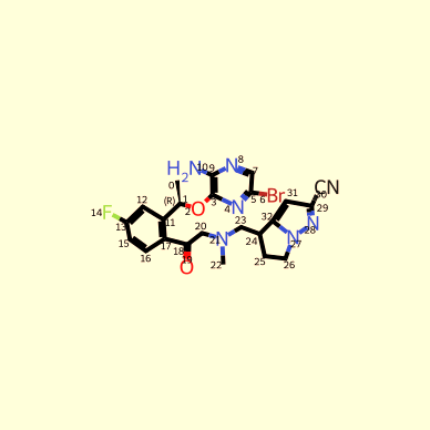 C[C@@H](Oc1nc(Br)cnc1N)c1cc(F)ccc1C(=O)CN(C)CC1CCn2nc(C#N)cc21